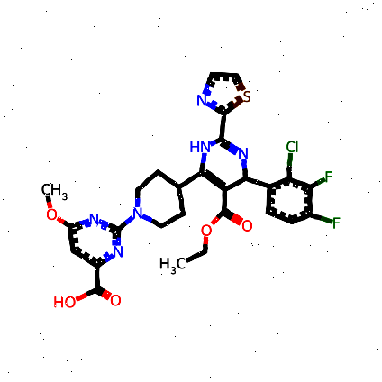 CCOC(=O)C1=C(C2CCN(c3nc(OC)cc(C(=O)O)n3)CC2)NC(c2nccs2)=NC1c1ccc(F)c(F)c1Cl